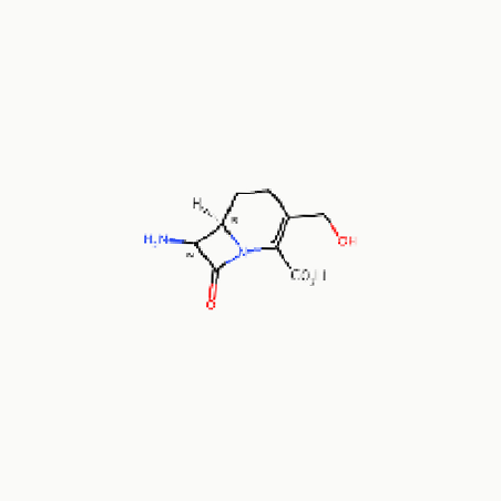 N[C@@H]1C(=O)N2C(C(=O)O)=C(CO)CC[C@H]12